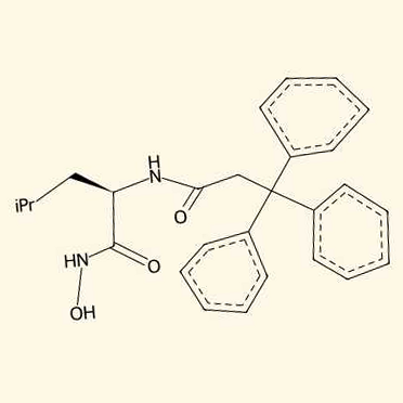 CC(C)C[C@@H](NC(=O)CC(c1ccccc1)(c1ccccc1)c1ccccc1)C(=O)NO